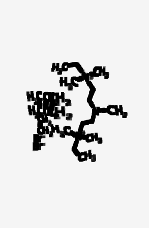 C=C.C=C.C=C.C=C.CC[N+](C)(C)CCN(C)CC[N+](C)(C)CC.[Br-].[Br-]